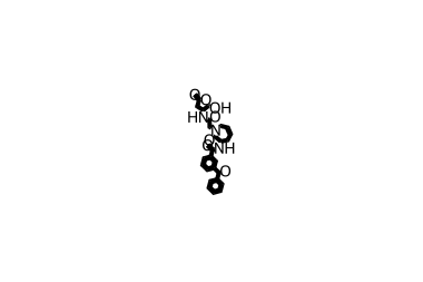 O=C(CN1CC=CCC(NC(=O)c2cccc(C(=O)c3ccccc3)c2)C1=O)NC1CC(=O)OC1O